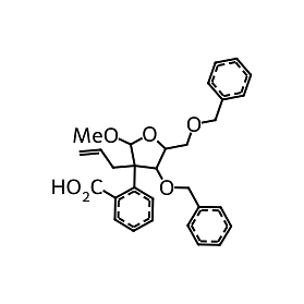 C=CCC1(c2ccccc2C(=O)O)C(OC)OC(COCc2ccccc2)C1OCc1ccccc1